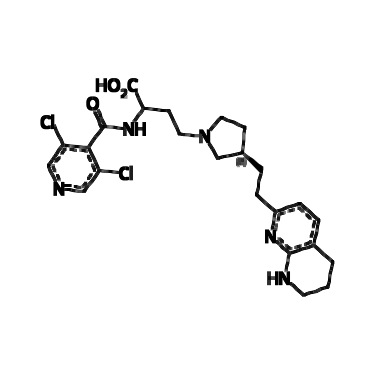 O=C(NC(CCN1CC[C@@H](CCc2ccc3c(n2)NCCC3)C1)C(=O)O)c1c(Cl)cncc1Cl